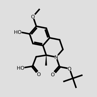 COc1cc2c(cc1O)[C@@](C)(CC(=O)O)N(C(=O)OC(C)(C)C)CC2